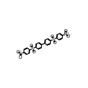 O=[N+]([O-])c1ccc(S(=O)(=O)c2ccc(-c3ccc(S(=O)(=O)c4ccc([N+](=O)[O-])cc4)cc3)cc2)cc1